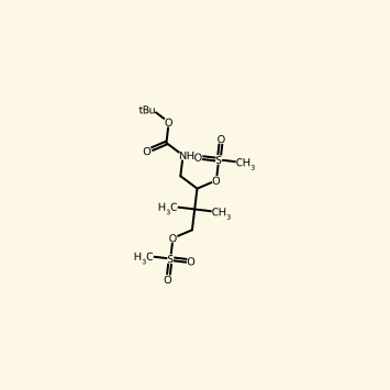 CC(C)(C)OC(=O)NCC(OS(C)(=O)=O)C(C)(C)COS(C)(=O)=O